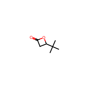 CC(C)(C)C1CC(=O)O1